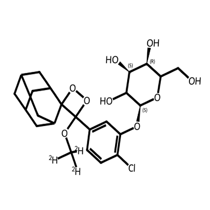 [2H]C([2H])([2H])OC1(c2ccc(Cl)c(O[C@@H]3OC(CO)[C@H](O)[C@H](O)C3O)c2)OOC12C1CC3CC(C1)CC2C3